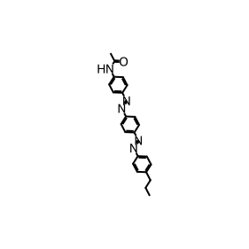 CCCc1ccc(N=Nc2ccc(N=Nc3ccc(NC(C)=O)cc3)cc2)cc1